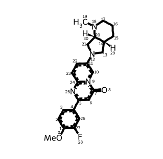 COc1ccc(-c2cc(=O)n3cc(N4C[C@H]5CCCN(C)[C@H]5C4)ccc3n2)cc1F